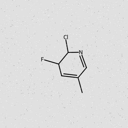 CC1=CC(F)C(Cl)N=C1